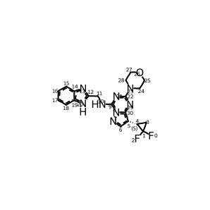 FC1(F)C[C@H]1c1cnn2c(NCc3nc4ccccc4[nH]3)nc(N3CCOCC3)nc12